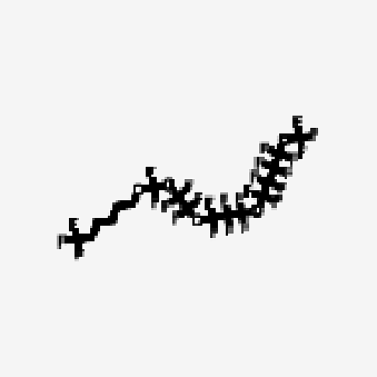 FC(F)(F)CCCCCOC(F)(F)OC(F)(F)C(F)(F)OC(F)(F)C(F)(F)C(F)(F)OC(F)(F)C(F)(F)C(F)(F)C(F)(F)OC(F)(F)F